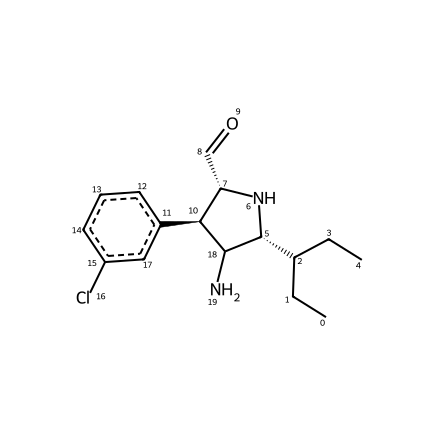 CCC(CC)[C@H]1N[C@@H](C=O)[C@H](c2cccc(Cl)c2)C1N